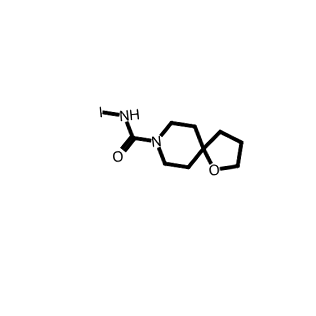 O=C(NI)N1CCC2(CCCO2)CC1